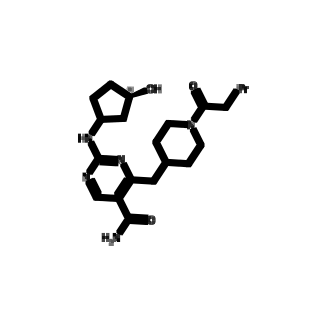 CC(C)CC(=O)N1CCC(Cc2nc(NC3CC[C@@H](O)C3)ncc2C(N)=O)CC1